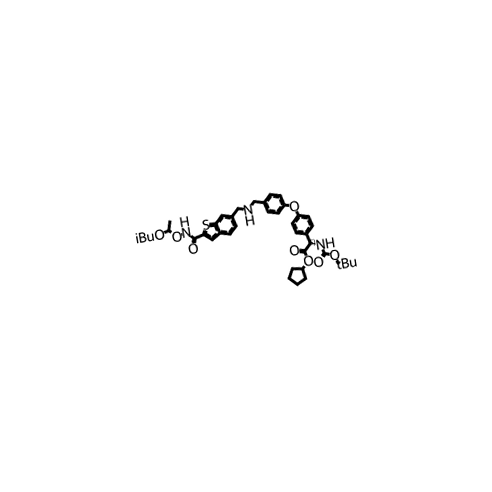 CC(C)COC(C)ONC(=O)c1cc2ccc(CNCc3ccc(Oc4ccc([C@H](NC(=O)OC(C)(C)C)C(=O)OC5CCCC5)cc4)cc3)cc2s1